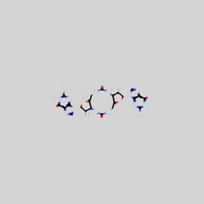 Nc1nc2c(ncn2[C@@H]2O[C@@H]3CNC(=O)N[C@H]4[C@@H](O)[C@H](n5cnc6c(=O)[nH]c(N)nc65)O[C@@H]4CNC(=O)N[C@H]3[C@H]2O)c(=O)[nH]1